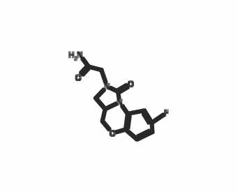 NC(=O)CN1CC2COc3ccc(F)cc3N2C1=O